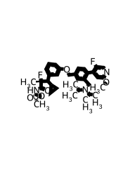 COc1cc(-c2ccc(COc3cccc(C(C4CC4)[C@@](C)(F)C(=O)NS(C)(=O)=O)c3)cc2CN(C(C)C)C(C)C)c(F)cn1